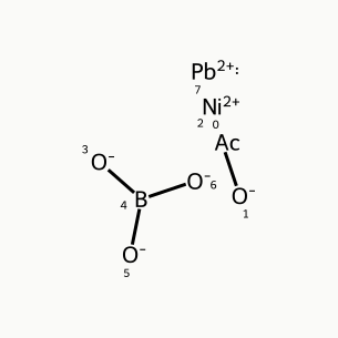 CC(=O)[O-].[Ni+2].[O-]B([O-])[O-].[Pb+2]